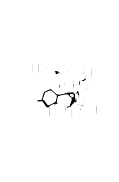 CC(=O)OC[C@]12CCC(C)=C[C@H]1O[C@@H]1[C@H](O)C[C@@H](OC(C)=O)[C@@]2(C)[C@@]12CO2